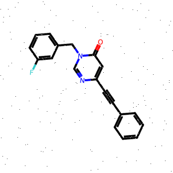 O=c1cc(C#Cc2ccccc2)ncn1Cc1cccc(F)c1